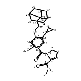 COC(=O)C1=CCCN1C(=O)c1cc(C2CC2)c(OCC23CC4CC(CC(C4)C2)C3)cc1F